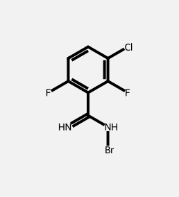 N=C(NBr)c1c(F)ccc(Cl)c1F